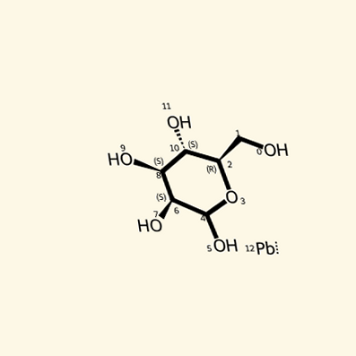 OC[C@H]1OC(O)[C@@H](O)[C@@H](O)[C@@H]1O.[Pb]